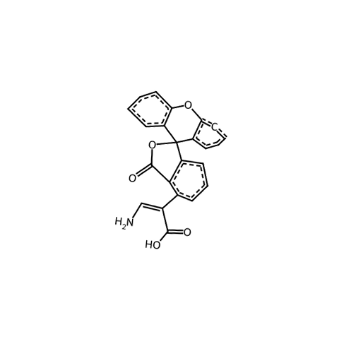 NC=C(C(=O)O)c1cccc2c1C(=O)OC21c2ccccc2Oc2ccccc21